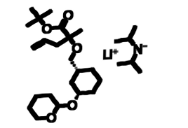 C=CCC(C)(OC[C@@H]1CCC[C@H](OC2CCCCO2)C1)C(=O)OC(C)(C)C.CC(C)[N-]C(C)C.[Li+]